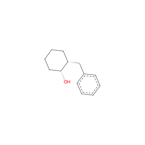 O[C@@H]1CCCC[C@@H]1Cc1ccccc1